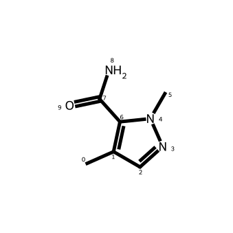 Cc1cnn(C)c1C(N)=O